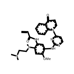 C=CC(=O)Nc1cc(Nc2nccc(-n3ccc(=O)c4ccccc43)n2)c(OC)cc1N(C)CCN(C)C